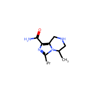 CC(C)c1nc(C(N)=O)c2n1C(C)CNC2